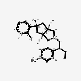 CCC(CN1C[C@@H]2C[C@@](O)(c3cccnc3F)C[C@@H]2C1)c1ccc(O)cn1